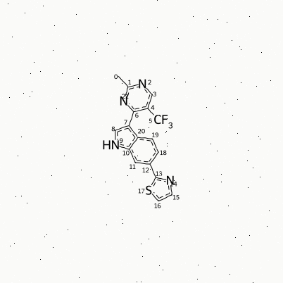 Cc1ncc(C(F)(F)F)c(-c2c[nH]c3cc(-c4nccs4)ccc23)n1